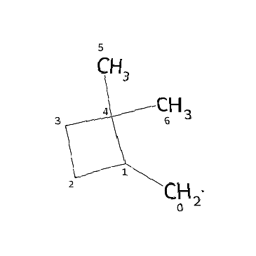 [CH2]C1CCC1(C)C